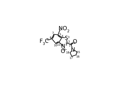 O=C(c1sc2c([N+](=O)[O-])cc(C(F)(F)F)cc2[n+]1[O-])N1CCCC1